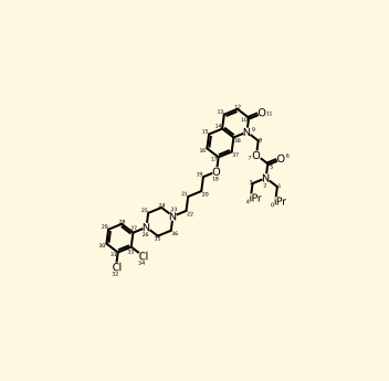 CC(C)CN(CC(C)C)C(=O)OCn1c(=O)ccc2ccc(OCCCCN3CCN(c4cccc(Cl)c4Cl)CC3)cc21